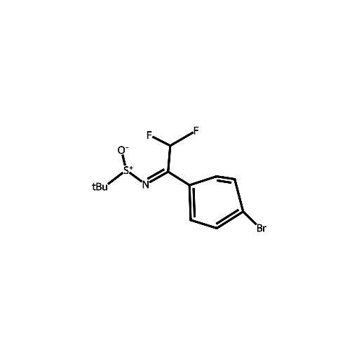 CC(C)(C)[S+]([O-])N=C(c1ccc(Br)cc1)C(F)F